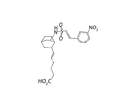 O=C(O)CCCC=CC1CC2CCC1C(NS(=O)(=O)C=Cc1cccc([N+](=O)[O-])c1)C2